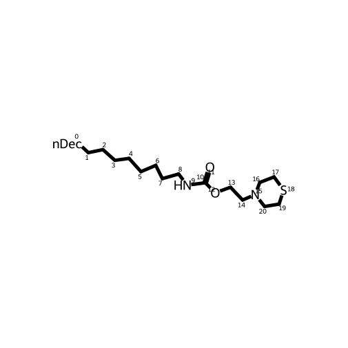 CCCCCCCCCCCCCCCCCCNC(=O)OCCN1CCSCC1